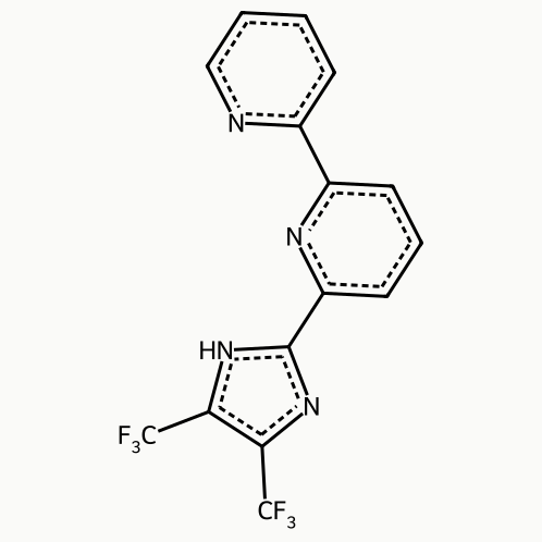 FC(F)(F)c1nc(-c2cccc(-c3ccccn3)n2)[nH]c1C(F)(F)F